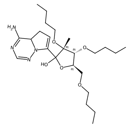 CCCCOC[C@H]1OC(O)(C2=CCC3C(N)=NC=NN23)[C@](C)(OCCCC)[C@@H]1OCCCC